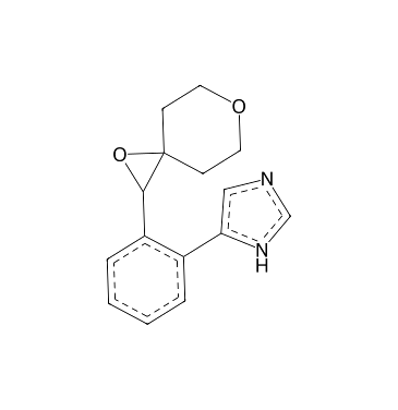 c1ccc(C2OC23CCOCC3)c(-c2cnc[nH]2)c1